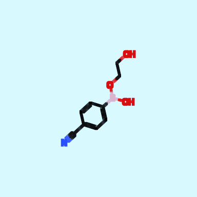 N#Cc1ccc(B(O)OCCO)cc1